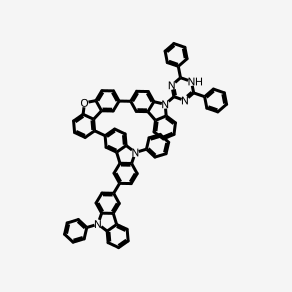 c1ccc(C2=NC(n3c4ccccc4c4cc(-c5ccc6oc7cccc(-c8ccc9c(c8)c8cc(-c%10ccc%11c(c%10)c%10ccccc%10n%11-c%10ccccc%10)ccc8n9-c8ccccc8)c7c6c5)ccc43)=NC(c3ccccc3)N2)cc1